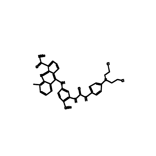 CNC(=O)c1cccc2c(Nc3ccc(OC)c(NC(=O)Nc4ccc(N(CCCl)CCCl)cc4)c3)c3cccc(C)c3nc12